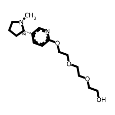 CN1CCC[C@H]1c1ccc(OCCOCCOCCO)nc1